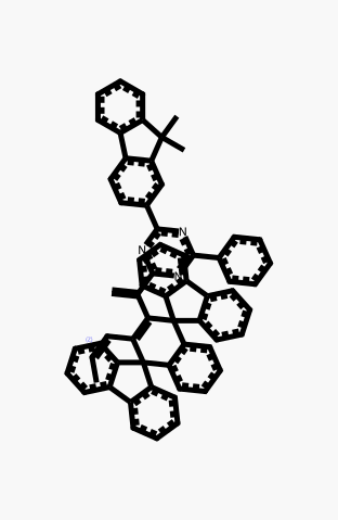 C=C(C1=C(/C=C\C)C2(c3ccccc3-c3ccccc32)c2ccccc2C12c1ccccc1-c1ccccc12)c1nc(-c2ccccc2)nc(-c2ccc3c(c2)C(C)(C)c2ccccc2-3)n1